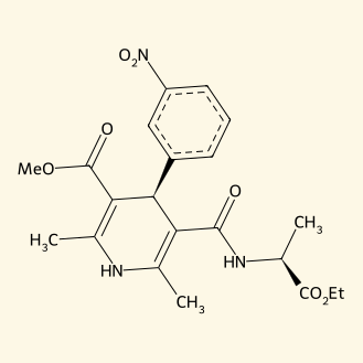 CCOC(=O)[C@H](C)NC(=O)C1=C(C)NC(C)=C(C(=O)OC)[C@H]1c1cccc([N+](=O)[O-])c1